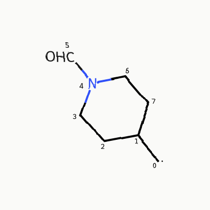 [CH2]C1CCN(C=O)CC1